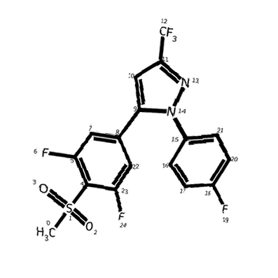 CS(=O)(=O)c1c(F)cc(-c2cc(C(F)(F)F)nn2-c2ccc(F)cc2)cc1F